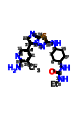 CCNC(=O)NC1CCC(Nc2nn3c(-c4cnc(N)c(C(F)(F)F)c4)cnc3s2)CC1